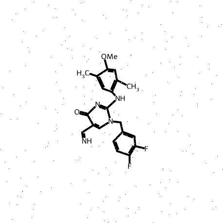 COc1cc(C)c(Nc2nc(=O)c(C=N)cn2Cc2ccc(F)c(F)c2)cc1C